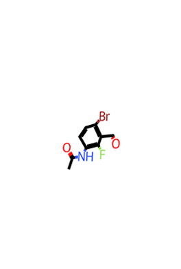 CC(=O)Nc1ccc(Br)c(C=O)c1F